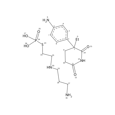 CCC1(c2ccc(N)cc2)CCC(=O)NC1=O.NCCCNCCSP(=O)(O)O